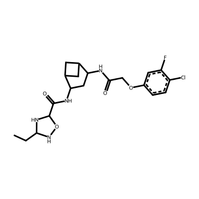 CCC1NOC(C(=O)NC2CC(NC(=O)COc3ccc(Cl)c(F)c3)C3CC2C3)N1